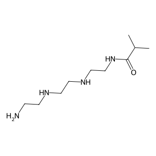 CC(C)C(=O)NCCNCCNCCN